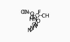 C#Cc1cc(NC(=O)c2ccc(-n3ccnc3)nn2)c(C(=O)OCCN2CCOCC2)cc1F